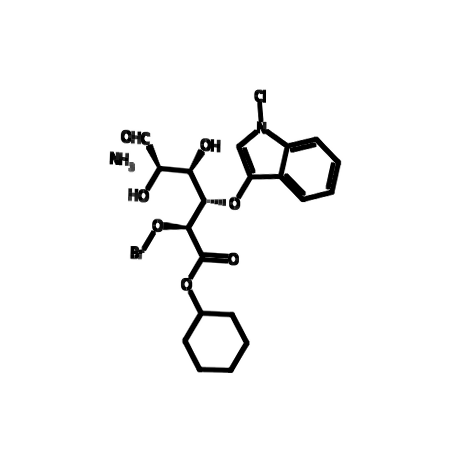 N.O=C[C@H](O)[C@@H](O)[C@H](Oc1cn(Cl)c2ccccc12)[C@H](OBr)C(=O)OC1CCCCC1